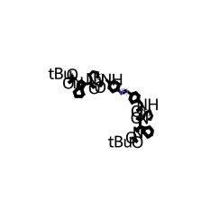 CC(C)(C)OC(=O)n1cc(C(=O)N2CCC[C@H]2C(=O)Nc2ccc(/C=C/c3ccc(NC(=O)[C@@H]4CCCN4C(=O)c4cn(C(=O)OC(C)(C)C)c5ccccc45)cc3)cc2)c2ccccc21